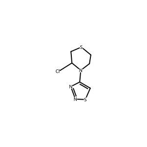 ClC1CSCCN1c1csnn1